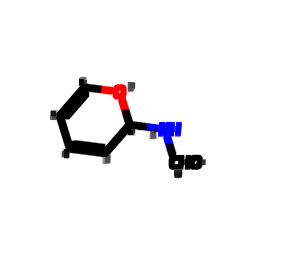 O=[C]NC1C=CC=CO1